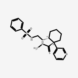 CNC(=S)[C@]1(c2cccnc2)CCCC[C@H]1CCNS(=O)(=O)c1ccccc1